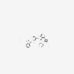 Cn1nc(Nc2cc(-c3nc(NC4CCNCC4(C)C)c4c(C5CCC5)cncc4n3)ccn2)c2ccccc21